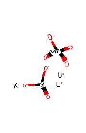 O=[Si]([O-])[O-].[K+].[Li+].[Li+].[O]=[Mn](=[O])(=[O])[O-]